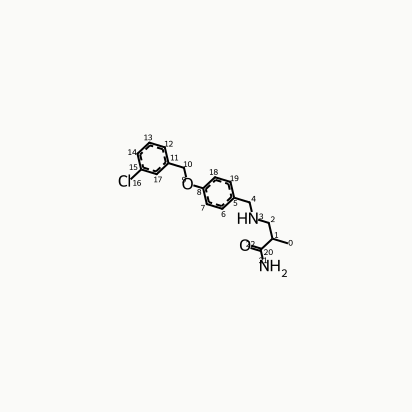 CC(CNCc1ccc(OCc2cccc(Cl)c2)cc1)C(N)=O